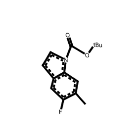 Cc1cc2c(ccn2C(=O)OC(C)(C)C)cc1F